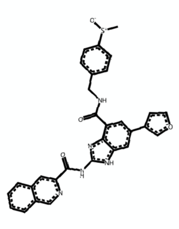 C[S+]([O-])c1ccc(CNC(=O)c2cc(-c3ccoc3)cc3[nH]c(NC(=O)c4cc5ccccc5cn4)nc23)cc1